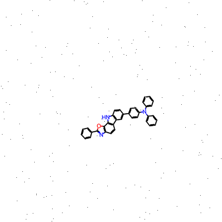 c1ccc(-c2nc3ccc4c5cc(-c6ccc(N(c7ccccc7)c7ccccc7)cc6)ccc5[nH]c4c3o2)cc1